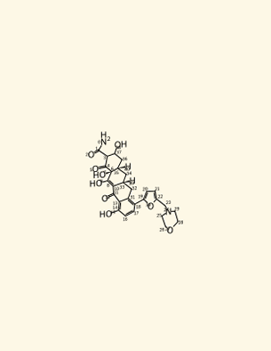 NC(=O)C1C(=O)[C@@]2(O)C(O)=C3C(=O)c4c(O)ccc(-c5ccc(CN6CCOCC6)o5)c4C[C@H]3C[C@H]2CC1O